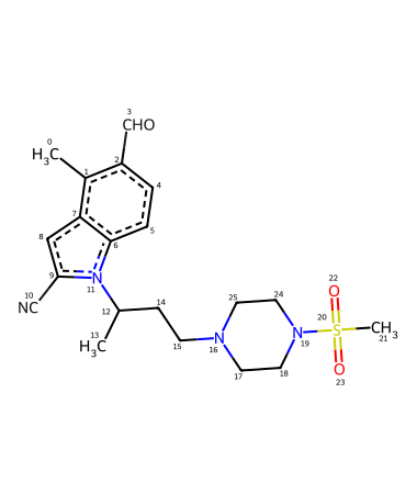 Cc1c(C=O)ccc2c1cc(C#N)n2C(C)CCN1CCN(S(C)(=O)=O)CC1